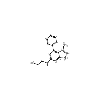 CC(C)CCNc1cc(-c2ccccc2)c2c(N)n[nH]c2n1